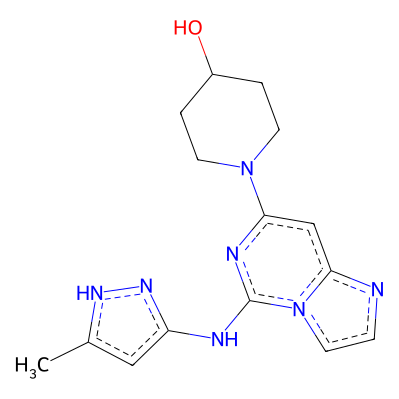 Cc1cc(Nc2nc(N3CCC(O)CC3)cc3nccn23)n[nH]1